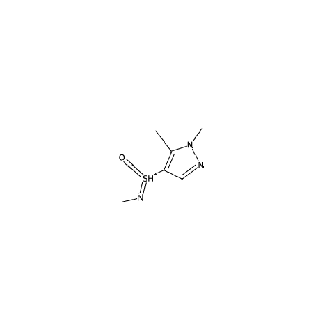 CN=[SH](=O)c1cnn(C)c1C